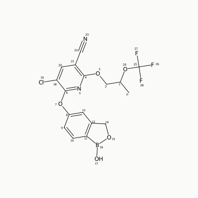 CC(COc1nc(Oc2ccc3c(c2)COB3O)c(Cl)cc1C#N)OC(F)(F)F